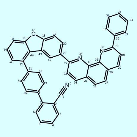 N#Cc1ccccc1-c1ccc(-c2cccc3oc4ccc(-c5ccc6ccc7ccc(-c8ccccc8)nc7c6n5)cc4c23)cc1